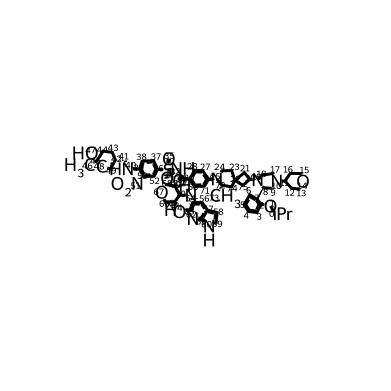 CC(C)Oc1ccccc1[C@@H]1CN(C2CCOCC2)CCN1C1CC2(CCN(c3ccc(C(=O)NS(=O)(=O)c4ccc(NC[C@H]5CC[C@](C)(O)CC5)c([N+](=O)[O-])c4)c(N4c5cc6cc[nH]c6nc5O[C@H]5COCC[C@@H]54)c3)[C@@H](C)C2)C1